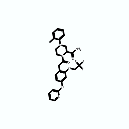 Cc1ccccc1N1CCN(C(=O)Cc2ccc(Oc3ccccn3)cc2OCC(F)(F)F)C(C(N)=O)C1